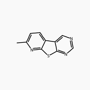 Cc1ccc2c(n1)sc1ncncc12